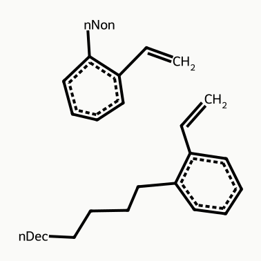 C=Cc1ccccc1CCCCCCCCC.C=Cc1ccccc1CCCCCCCCCCCCCC